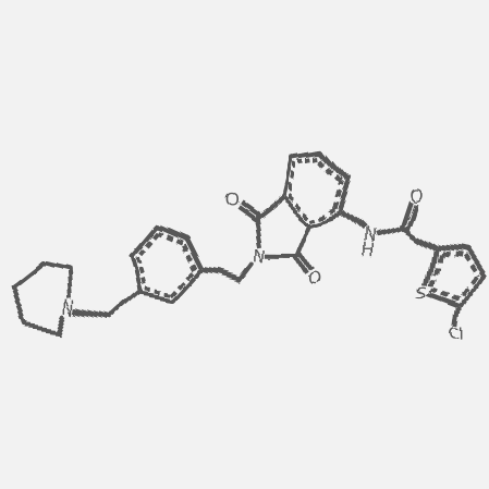 O=C(Nc1cccc2c1C(=O)N(Cc1cccc(CN3CCCCC3)c1)C2=O)c1ccc(Cl)s1